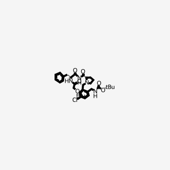 CC(C)(C)OCC(=O)N[C@H](Cc1ccccc1)C(=O)NC(=O)[C@@H]1CCCN1Cc1cc(Cl)ccc1CNC(=O)OC(C)(C)C